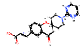 O=C(O)/C=C/c1ccc2c(c1)C(=O)CC1(CCN(c3ncccn3)CC1)O2